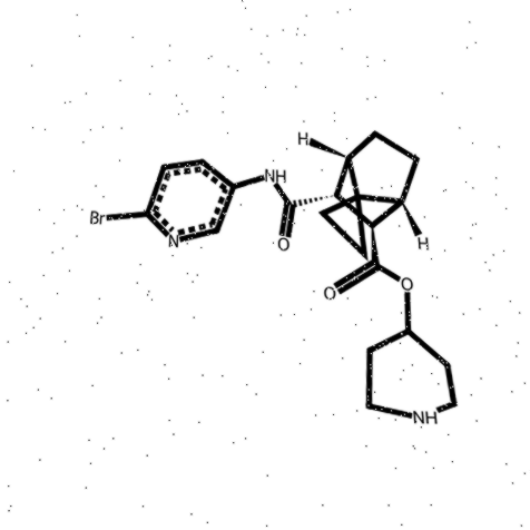 O=C(OC1CCNCC1)[C@H]1[C@H](C(=O)Nc2ccc(Br)nc2)[C@@H]2CC[C@H]1C21CC1